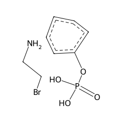 NCCBr.O=P(O)(O)Oc1ccccc1